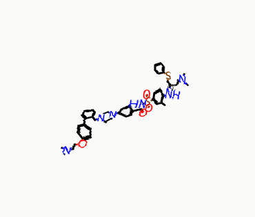 Cc1cc(S(=O)(=O)NC(=O)c2ccc(N3CCN(Cc4ccccc4-c4ccc(OCCN(C)C)cc4)CC3)cc2)ccc1N[C@H](CCN(C)C)CSc1ccccc1